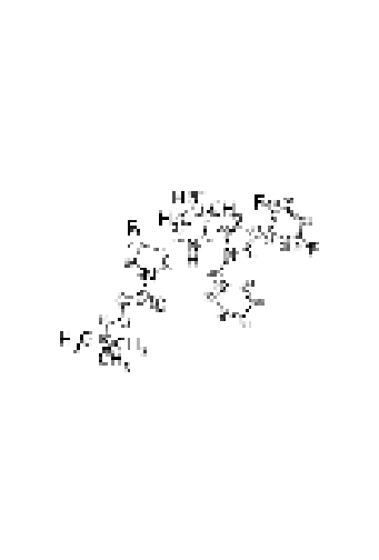 CC(C)(C)[C@@H](NC[C@@H]1CN(C(=O)OCCS(C)(C)C)C[C@@H]1F)c1cc(-c2cc(F)ccc2F)cn1Cc1ccccc1